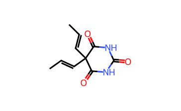 CC=CC1(C=CC)C(=O)NC(=O)NC1=O